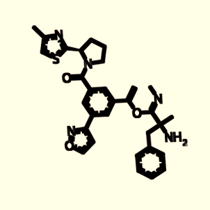 C=C(O/C(=N\C)C(C)(N)Cc1ccccc1)c1cc(C(=O)N2CCC[C@@H]2c2nc(C)cs2)cc(-c2ccon2)c1